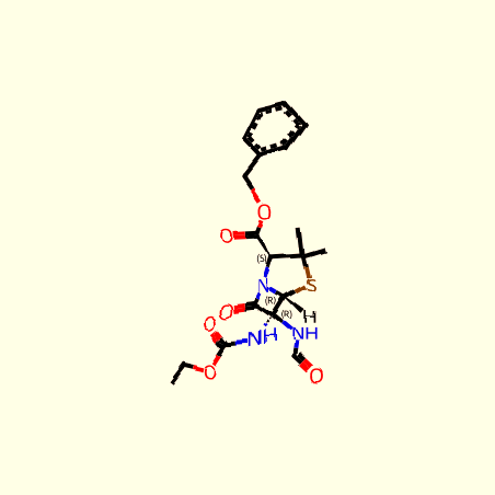 CCOC(=O)N[C@]1(NC=O)C(=O)N2[C@@H](C(=O)OCc3ccccc3)C(C)(C)S[C@@H]21